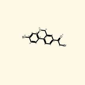 O=C(CBr)c1ccc2c(c1)COc1cc(Br)ccc1-2